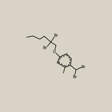 CCCCC(Br)(Br)COc1ccc(C(Br)Br)c(C)c1